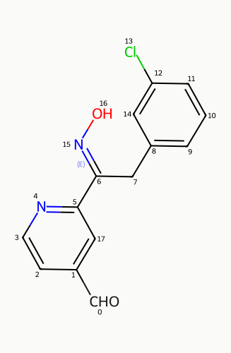 O=Cc1ccnc(/C(Cc2cccc(Cl)c2)=N/O)c1